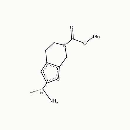 C[C@@H](N)c1cc2c(s1)CN(C(=O)OC(C)(C)C)CC2